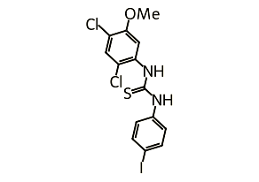 COc1cc(NC(=S)Nc2ccc(I)cc2)c(Cl)cc1Cl